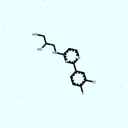 OCC(O)CNc1ccnc(-c2ccc(F)c(Cl)c2)n1